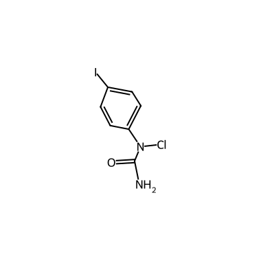 NC(=O)N(Cl)c1ccc(I)cc1